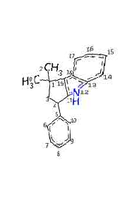 CC1(C)CC(c2ccccc2)c2[nH]c3ccccc3c21